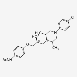 CC(=O)Nc1ccc(OC[C@@H](O)CN2C(C)CN(c3ccc(Cl)cc3)CC2C)cc1